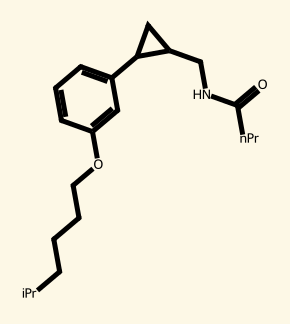 CCCC(=O)NCC1CC1c1cccc(OCCCCC(C)C)c1